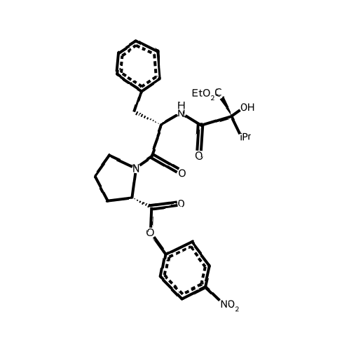 CCOC(=O)[C@](O)(C(=O)N[C@@H](Cc1ccccc1)C(=O)N1CCC[C@H]1C(=O)Oc1ccc([N+](=O)[O-])cc1)C(C)C